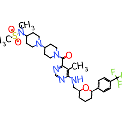 Cc1c(NC[C@@H]2CCC[C@H](c3ccc(C(F)(F)F)cc3)O2)ncnc1C(=O)N1CCC(N2CCC(N(C)S(C)(=O)=O)CC2)CC1